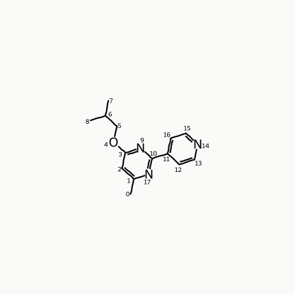 Cc1cc(OCC(C)C)nc(-c2ccncc2)n1